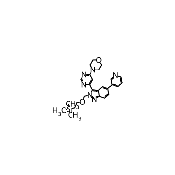 C[Si](C)(C)CCOCn1nc2ccc(-c3cccnc3)cc2c1-c1cc(N2CCOCC2)ncn1